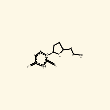 O=c1ccn([C@H]2CCC(CCO)O2)c(=O)[nH]1